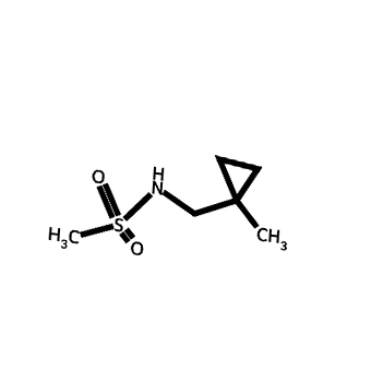 CC1(CNS(C)(=O)=O)CC1